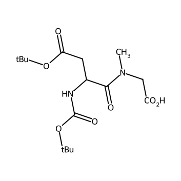 CN(CC(=O)O)C(=O)C(CC(=O)OC(C)(C)C)NC(=O)OC(C)(C)C